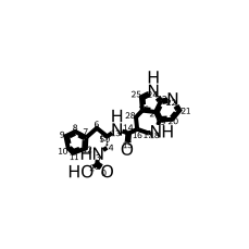 O=C(O)NC[C@H](Cc1ccccc1)NC(=O)C1CNc2ccnc3[nH]cc(c23)C1